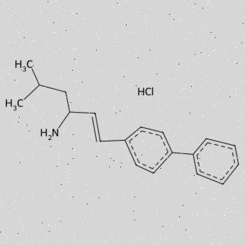 CC(C)CC(N)C=Cc1ccc(-c2ccccc2)cc1.Cl